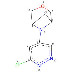 Clc1cc(N2C3COCC2C3)cnn1